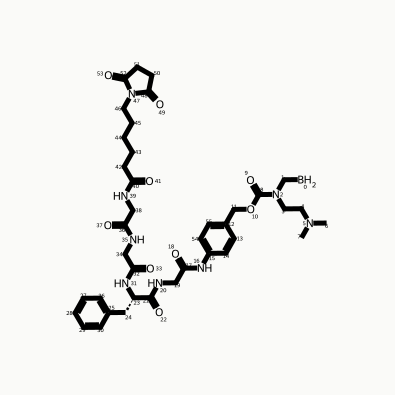 BCN(CCN(C)C)C(=O)OCc1ccc(NC(=O)CNC(=O)[C@H](Cc2ccccc2)NC(=O)CNC(=O)CNC(=O)CCCCCN2C(=O)CCC2=O)cc1